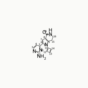 Nc1nccc(-c2cc3c(n2C2=CC=C2)CCNC3=O)n1